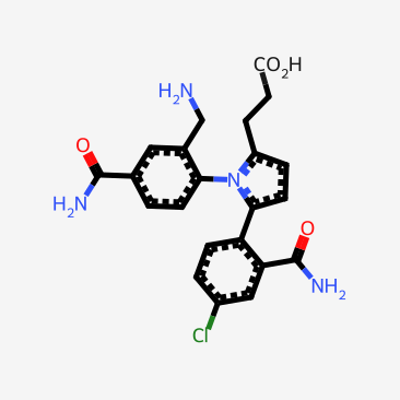 NCc1cc(C(N)=O)ccc1-n1c(CCC(=O)O)ccc1-c1ccc(Cl)cc1C(N)=O